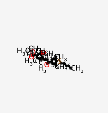 CCCCCCSc1c(C)cc(C(=O)C=CC2(C)C(C)=C(C)C(C(=O)OC(C)(C)C)=C(C)C2OC)cc1C